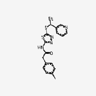 CCC(Sc1nnc(NC(=O)Cc2ccc(C)cc2)s1)c1cccnc1